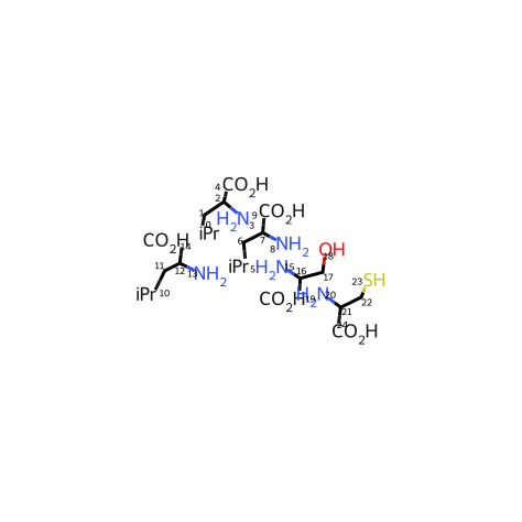 CC(C)CC(N)C(=O)O.CC(C)CC(N)C(=O)O.CC(C)CC(N)C(=O)O.NC(CO)C(=O)O.NC(CS)C(=O)O